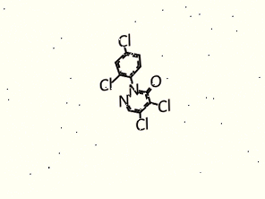 O=c1c(Cl)c(Cl)cnn1-c1ccc(Cl)cc1Cl